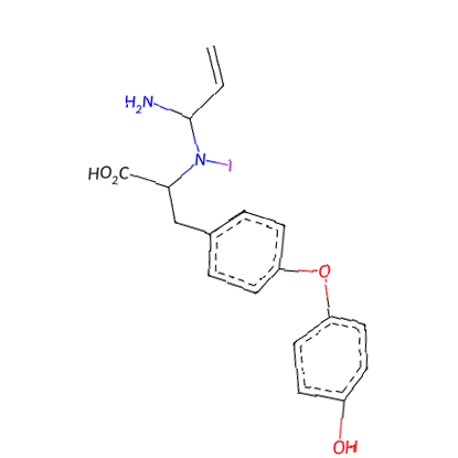 C=CC(N)N(I)C(Cc1ccc(Oc2ccc(O)cc2)cc1)C(=O)O